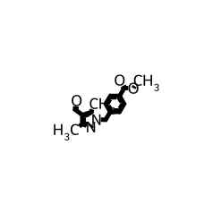 COC(=O)c1ccc(Cn2nc(C)c(C=O)c2C)cc1